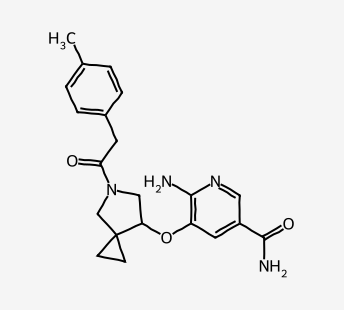 Cc1ccc(CC(=O)N2CC(Oc3cc(C(N)=O)cnc3N)C3(CC3)C2)cc1